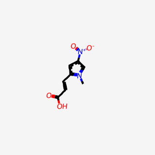 Cn1cc([N+](=O)[O-])cc1/C=C/C(=O)O